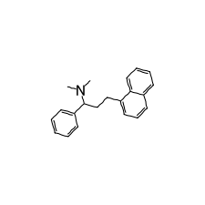 CN(C)C(CCc1cccc2ccccc12)c1ccccc1